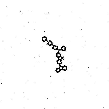 CC1(C)c2cc(N(c3ccccc3)c3ccc(-c4ccc(-c5ccccc5)cc4)cc3)ccc2-c2ccc(-n3c4ccccc4c4ccccc43)cc21